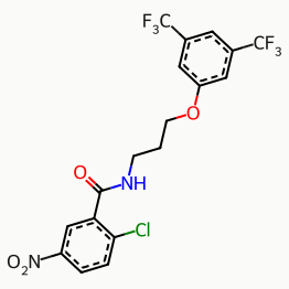 O=C(NCCCOc1cc(C(F)(F)F)cc(C(F)(F)F)c1)c1cc([N+](=O)[O-])ccc1Cl